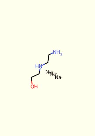 NCCNCCO.[Na].[Na].[Na]